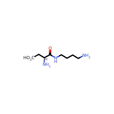 NCCCCNC(=O)[C@@H](N)CC(=O)O